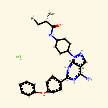 CN[C@@H](CC(C)C)C(=O)NC1CCC(n2ncc3c(N)nc(-c4ccc(Oc5ccccc5)cc4)nc32)CC1.Cl